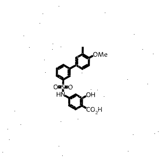 COc1ccc(-c2cccc(S(=O)(=O)Nc3ccc(C(=O)O)c(O)c3)c2)cc1C